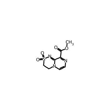 COC(=O)C1=NC=CN2CCS(=O)(=O)N=C12